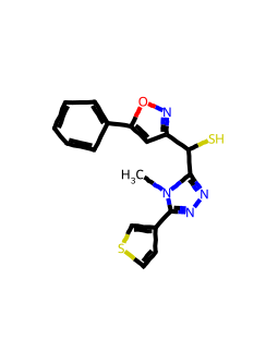 Cn1c(-c2ccsc2)nnc1C(S)c1cc(-c2ccccc2)on1